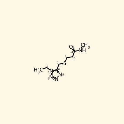 CCn1nnnc1CSCCC(=O)NC